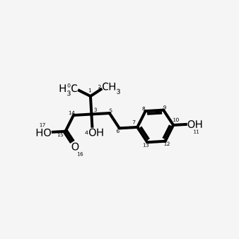 CC(C)C(O)(CCc1ccc(O)cc1)CC(=O)O